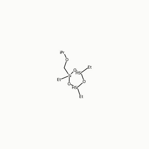 CC[SiH]1O[SiH](CC)O[Si](CC)(COC(C)C)O1